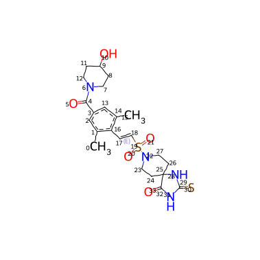 Cc1cc(C(=O)N2CCC(O)CC2)cc(C)c1/C=C/S(=O)(=O)N1CCC2(CC1)NC(=S)NC2=O